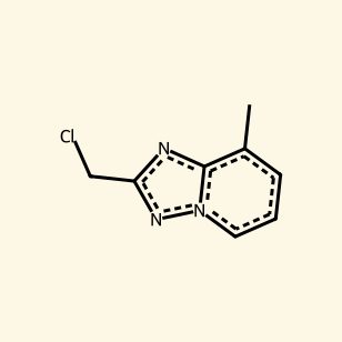 Cc1cccn2nc(CCl)nc12